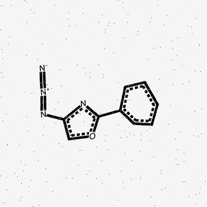 [N-]=[N+]=Nc1coc(-c2ccccc2)n1